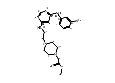 COC(=O)CN1CCN(CCNc2cc(Nc3cccc(Br)c3)ncn2)CC1